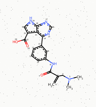 C=C(CN(C)C)C(=O)Nc1cccc(-c2ncnc3[nH]cc(C(=O)O)c23)c1